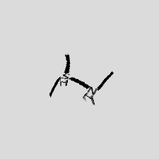 CN[SH](C)C